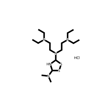 CCN(CC)CCN(CCN(CC)CC)C1NC(N(C)C)SS1.Cl